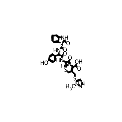 Cn1nncc1SCC1=C(C(=O)O)N2C(=O)C(NC(=O)C(NC(=O)n3c(=O)[nH]c4ccccc43)c3ccc(O)cc3)[C@H]2SC1